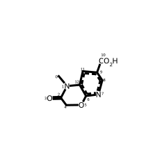 CN1C(=O)COc2ncc(C(=O)O)cc21